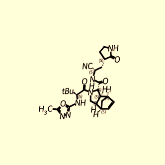 Cc1nnc(N[C@H](C(=O)N2C[C@H]3[C@@H]([C@H]2C(=O)N[C@H](C#N)C[C@@H]2CCNC2=O)[C@H]2C=C[C@@H]3C2)C(C)(C)C)o1